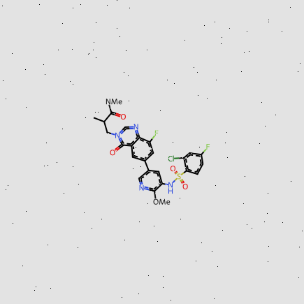 CNC(=O)C(C)Cn1cnc2c(F)cc(-c3cnc(OC)c(NS(=O)(=O)c4ccc(F)cc4Cl)c3)cc2c1=O